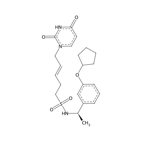 C[C@@H](NS(=O)(=O)CC/C=C/Cn1ccc(=O)[nH]c1=O)c1cccc(OC2CCCC2)c1